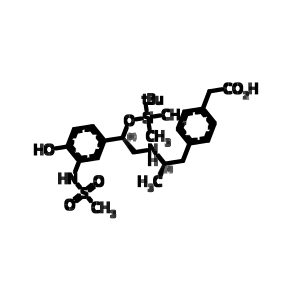 C[C@H](Cc1ccc(CC(=O)O)cc1)NC[C@H](O[Si](C)(C)C(C)(C)C)c1ccc(O)c(NS(C)(=O)=O)c1